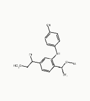 CCO[C@H](c1ccc(C(CC)CC(=O)O)cc1Nc1ccc(C#N)cc1)C(F)(F)F